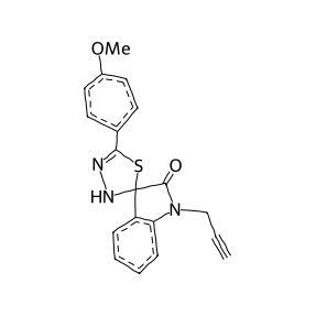 C#CCN1C(=O)C2(NN=C(c3ccc(OC)cc3)S2)c2ccccc21